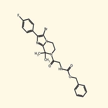 CC1(C)c2nc(-c3ccc(F)cc3)c(Br)n2CCN1C(=O)CNC(=O)OCc1ccccc1